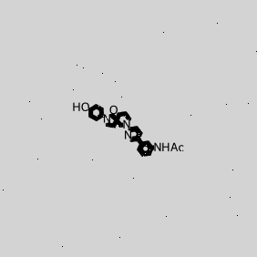 CC(=O)Nc1cccc(-c2ccc(N3CCCC4(CCN([C@H]5CC[C@H](O)CC5)C4=O)C3)nc2)c1